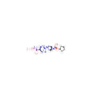 O=C(NO)c1cnc(N2CC3CC2CN3C(=O)OC2CCCC2)nc1